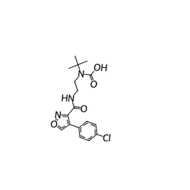 CC(C)(C)N(CCNC(=O)c1nocc1-c1ccc(Cl)cc1)C(=O)O